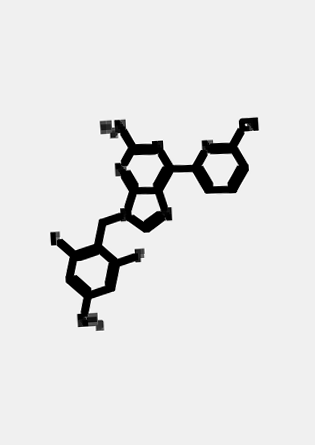 N#Cc1cccc(-c2nc(N)nc3c2ncn3Cc2c(F)cc(N)cc2F)n1